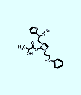 CCC(C)OC(CN1C=CN(CCNc2ccccc2)C1OC(=O)C(C)O)c1cccs1